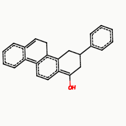 OC1=c2ccc3c(c2CC(c2ccccc2)C1)CC=c1ccccc1=3